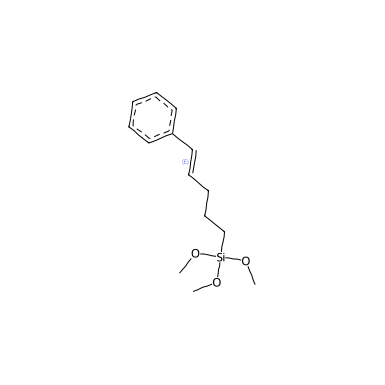 CO[Si](CCC/C=C/c1ccccc1)(OC)OC